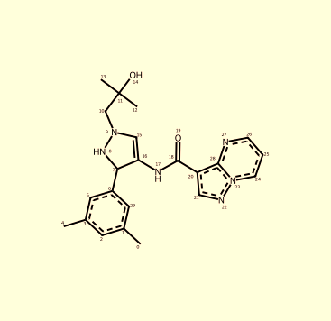 Cc1cc(C)cc(C2NN(CC(C)(C)O)C=C2NC(=O)c2cnn3cccnc23)c1